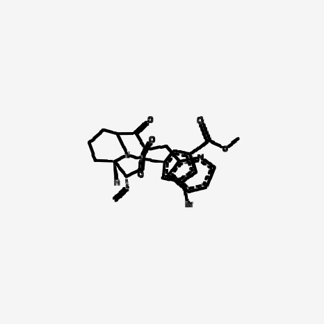 C=C[C@H]1CN(Cc2ccccn2)C(=O)C2CCC[C@@H]1N2S(=O)(=O)c1cc(Br)cc(C(=O)OC)c1